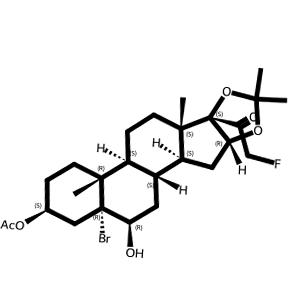 CC(=O)O[C@H]1CC[C@]2(C)[C@H]3CC[C@@]4(C)[C@@H](C[C@H]5OC(C)(C)O[C@]54C(=O)CF)[C@@H]3C[C@@H](O)[C@@]2(Br)C1